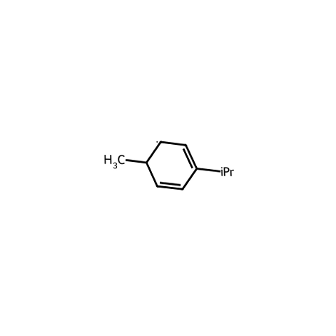 CC1[CH]C=C(C(C)C)C=C1